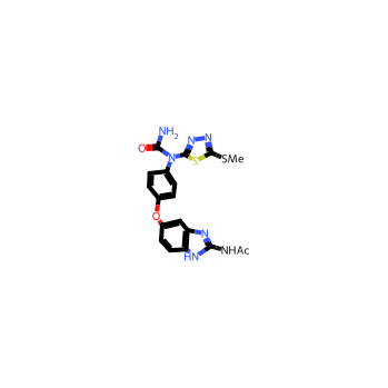 CSc1nnc(N(C(N)=O)c2ccc(Oc3ccc4[nH]c(NC(C)=O)nc4c3)cc2)s1